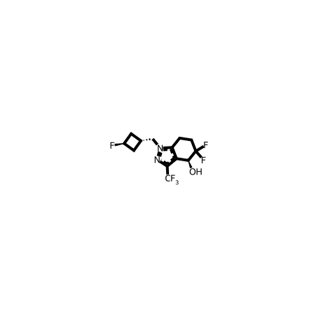 O[C@H]1c2c(C(F)(F)F)nn(C[C@H]3C[C@H](F)C3)c2CCC1(F)F